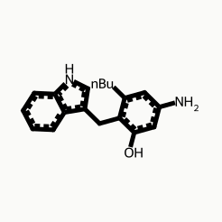 CCCCc1cc(N)cc(O)c1Cc1c[nH]c2ccccc12